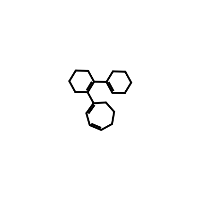 C1=CCCCC(C2=C(C3=CCCCC3)CCCC2)=C1